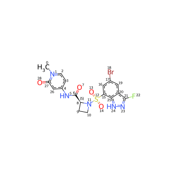 Cn1ccc(NC(=O)[C@@H]2CCN2S(=O)(=O)c2cc(Br)cc3c(F)n[nH]c23)cc1=O